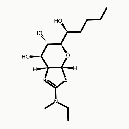 CCCC[C@H](O)[C@H]1O[C@@H]2SC(N(C)CC)=N[C@@H]2[C@@H](O)[C@@H]1O